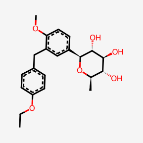 CCOc1ccc(Cc2cc([C@@H]3O[C@H](C)[C@@H](O)[C@H](O)[C@H]3O)ccc2OC)cc1